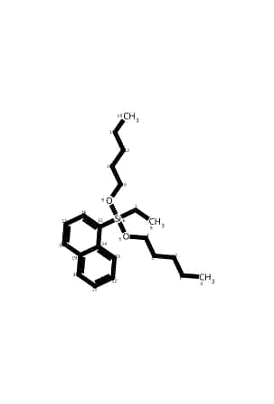 CCCCCO[Si](CC)(OCCCCC)c1cccc2ccccc12